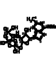 CNc1nc(C)nc2c1ncn2C1OC(OP(=O)(O)OP(=O)(O)OP(=O)(O)O)C(O)C1O